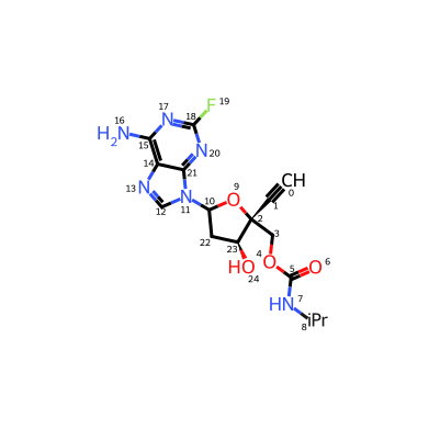 C#C[C@]1(COC(=O)NC(C)C)OC(n2cnc3c(N)nc(F)nc32)C[C@@H]1O